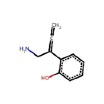 C=C=C(CN)c1ccccc1O